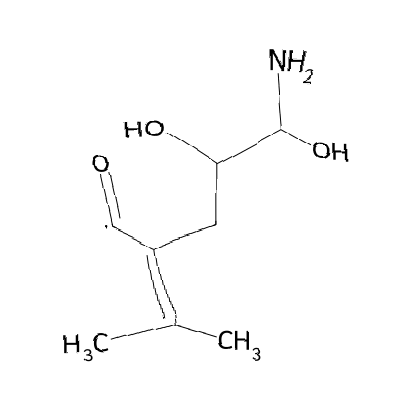 CC(C)=C([C]=O)CC(O)C(N)O